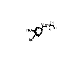 CC(C)(CO)NCC(O)c1ccc(O)c(O)c1